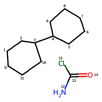 C1CCC(C2CCCCC2)CC1.NC(=O)Cl